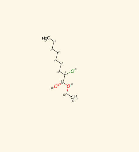 CCCCCCCC(Cl)C(=O)OCC